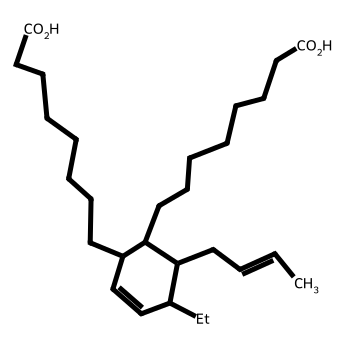 CC=CCC1C(CC)C=CC(CCCCCCCC(=O)O)C1CCCCCCCC(=O)O